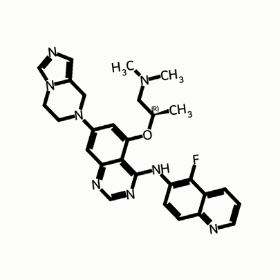 C[C@H](CN(C)C)Oc1cc(N2CCn3cncc3C2)cc2ncnc(Nc3ccc4ncccc4c3F)c12